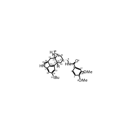 COc1ccc(C(=O)NC[C@@H]2C[C@@H]3c4cc(C(C)(C)C)cc5[nH]cc(c45)C[C@H]3N(C)C2)cc1OC